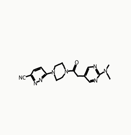 CN(C)c1ncc(CC(=O)N2CCN(c3ccc(C#N)nn3)CC2)cn1